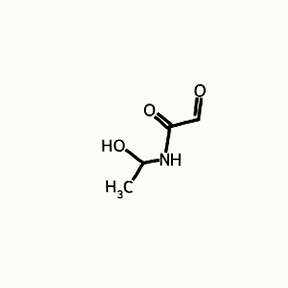 CC(O)NC(=O)C=O